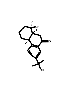 CC(C)(O)c1ccc2c(c1)C(=O)C[C@H]1[C@](C)(O)CCC[C@]21C